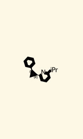 CC(C)c1cccc([C@@H]2C[C@H]2c2ccccc2)n1